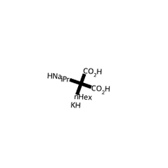 CCCCCCC(C(=O)O)(C(=O)O)C(C)C.[KH].[NaH]